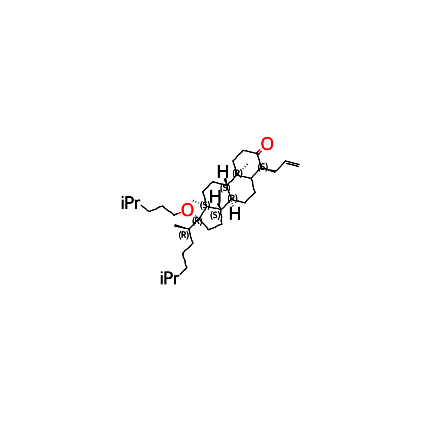 C=CC[C@@H]1C(=O)CC[C@@]2(C)C1CC[C@@H]1[C@@H]2CC[C@@]2(C)[C@H]1CC[C@@]2(OCCCC(C)C)[C@H](C)CCCC(C)C